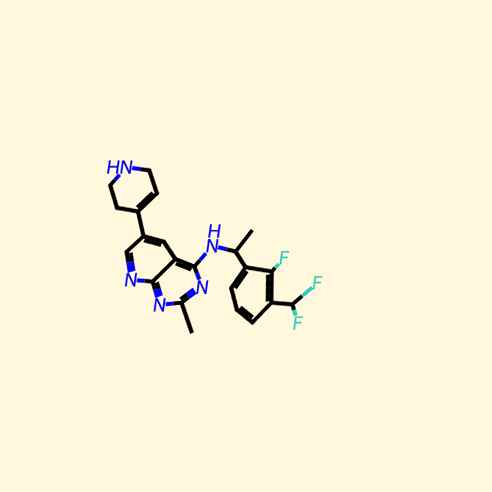 Cc1nc(NC(C)c2cccc(C(F)F)c2F)c2cc(C3=CCNCC3)cnc2n1